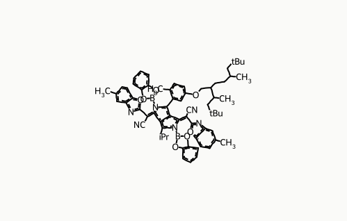 Cc1ccc2oc(/C(C#N)=c3/c4c(C(C)C)n(B5Oc6ccccc6O5)/c(=C(/C#N)c5nc6cc(C)ccc6o5)c4c(-c4cc(OCC(CCC(C)CC(C)(C)C)C(C)CC(C)(C)C)ccc4C)n3B3Oc4ccccc4O3)nc2c1